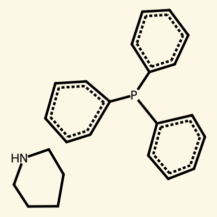 C1CCNCC1.c1ccc(P(c2ccccc2)c2ccccc2)cc1